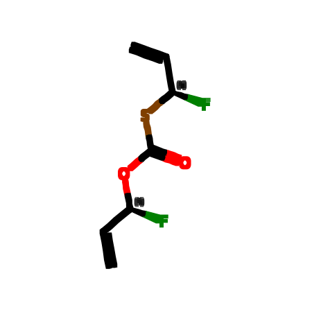 C=C[C@@H](F)SC(=O)O[C@@H](F)C=C